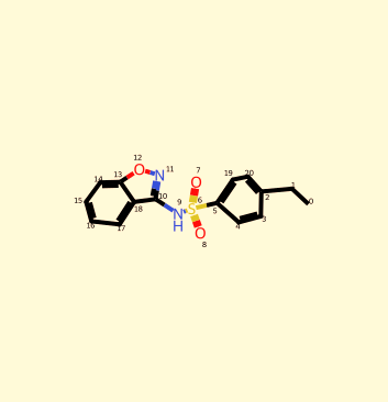 CCc1ccc(S(=O)(=O)Nc2noc3ccccc23)cc1